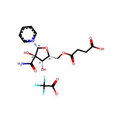 NC(=O)[C@@]1(O)[C@@H](O)[C@@H](COC(=O)CCC(=O)O)O[C@H]1[n+]1ccccc1.O=C([O-])C(F)(F)F